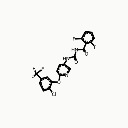 O=C(NC(=O)c1c(F)cccc1F)Nc1ccc(Oc2cc(C(F)(F)F)ccc2Cl)nc1